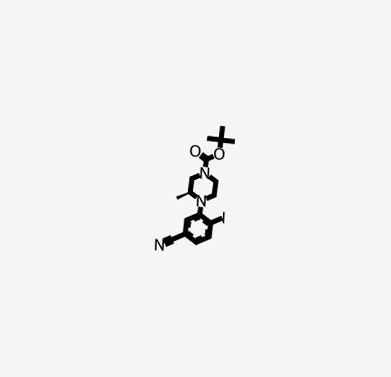 C[C@H]1CN(C(=O)OC(C)(C)C)CCN1c1cc(C#N)ccc1I